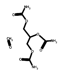 C=O.NC(=O)OCC(COC(N)=O)OC(N)=O